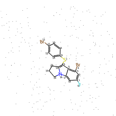 Fc1cc(Br)c2c(Sc3ccc(Br)cc3)c3n(c2c1)CC[C]3